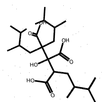 CC(C)C(C)CC(C(=O)O)C(O)(C(=O)O)C(CC(C)C(C)C)(CC(C)C(C)C)C(=O)O